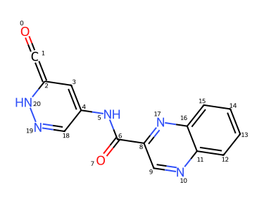 O=C=C1C=C(NC(=O)c2cnc3ccccc3n2)C=NN1